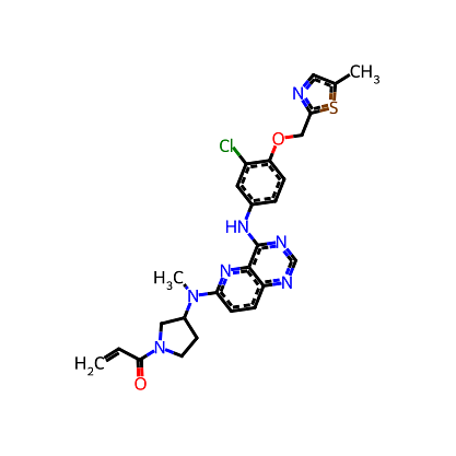 C=CC(=O)N1CCC(N(C)c2ccc3ncnc(Nc4ccc(OCc5ncc(C)s5)c(Cl)c4)c3n2)C1